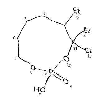 CCC1CCCCOP(=O)(O)OC1(CC)CC